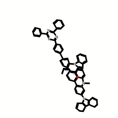 C/C=C\C=C/c1cc2ccccc2n1-c1cc(-c2ccc(-c3nc(-c4ccccc4)nc(-c4ccccc4)n3)cc2)ccc1-c1ccc(-c2ccc(-n3c4c(c5c3C=CCC5)CCC=C4)cc2N(C)c2ccccc2)cc1